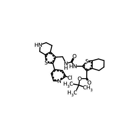 CC(C)(C)OC(=O)c1c(NC(=O)NCc2c(-c3ccnc(Cl)c3)sc3c2CCNC3)sc2c1CCCC2